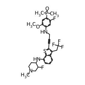 COc1cc(P(C)(C)=O)c(F)cc1NCC#Cc1sc2c(NC3CCN(C)CC3F)cccc2c1CC(F)(F)F